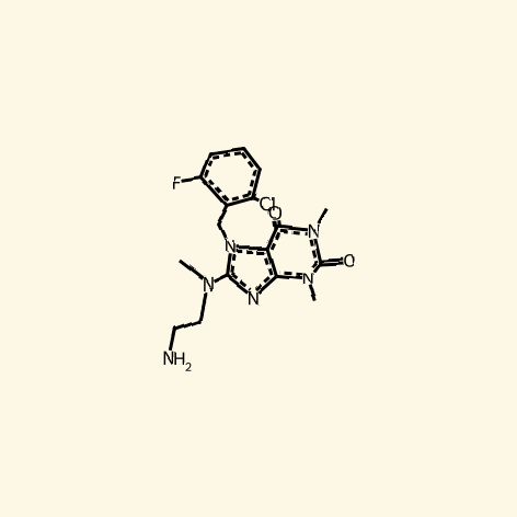 CN(CCN)c1nc2c(c(=O)n(C)c(=O)n2C)n1Cc1c(F)cccc1Cl